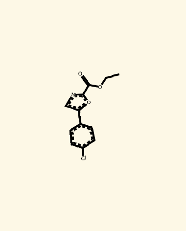 CCOC(=O)c1ncc(-c2ccc(Cl)cc2)o1